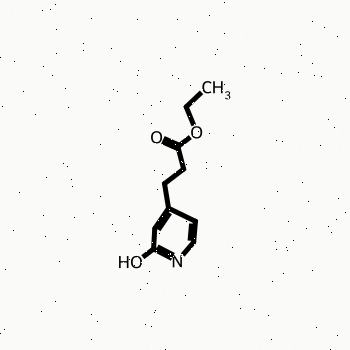 CCOC(=O)CCc1ccnc(O)c1